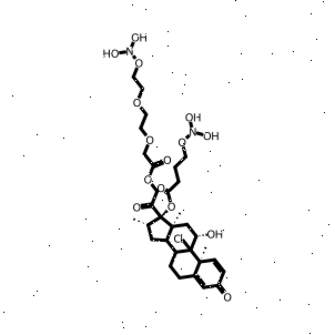 C[C@H]1CC2C3CCC4=CC(=O)C=C[C@]4(C)C3(Cl)[C@@H](O)C[C@]2(C)[C@@]1(OC(=O)CCCON(O)O)C(=O)COC(=O)COCCOCCON(O)O